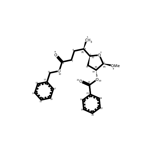 CO[C@@H]1O[C@H]([C@H](C)CCC(=O)OCc2ccccc2)C[C@H]1OC(=O)c1ccccc1